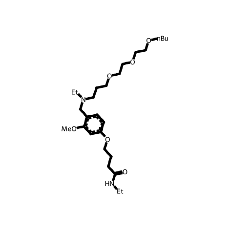 CCCCOCCOCCOCCCN(CC)Cc1ccc(OCCCC(=O)NCC)cc1OC